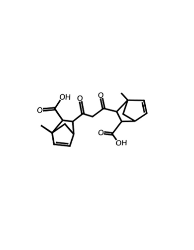 CC12C=CC(C1)C(C(=O)CC(=O)C1C(C(=O)O)C3C=CC1(C)C3)C2C(=O)O